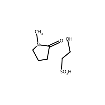 CN1CCCC1=O.O=S(=O)(O)CCO